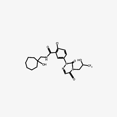 O=C(NCC1(O)CCCCCC1)c1cc(-n2ncc(=O)n(CC(O)C(F)(F)F)c2=O)ccc1Cl